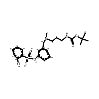 CN(CCCNC(=O)OC(C)(C)C)Cc1cccc(OS(=O)(=O)c2ccccc2Cl)c1